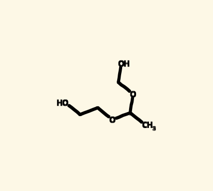 C[C](OCO)OCCO